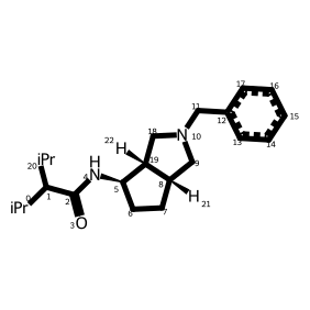 CC(C)C(C(=O)N[C@@H]1CC[C@H]2CN(Cc3ccccc3)C[C@H]21)C(C)C